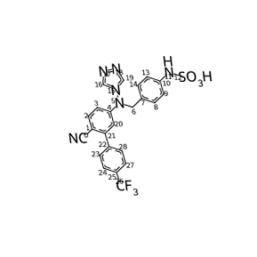 N#Cc1ccc(N(Cc2ccc(NS(=O)(=O)O)cc2)n2cnnc2)cc1-c1ccc(C(F)(F)F)cc1